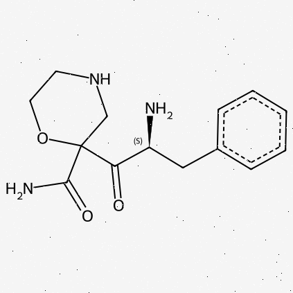 NC(=O)C1(C(=O)[C@@H](N)Cc2ccccc2)CNCCO1